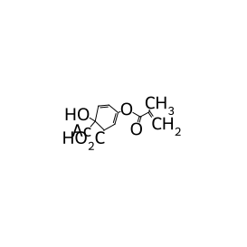 C=C(C)C(=O)OC1=CC(C(=O)O)C(O)(C(C)=O)C=C1